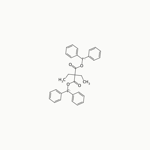 CCC(CC)(C(=O)O[I+](c1ccccc1)c1ccccc1)C(=O)O[I+](c1ccccc1)c1ccccc1